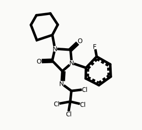 O=C1/C(=N/C(Cl)C(Cl)(Cl)Cl)N(c2ccccc2F)C(=O)N1C1CCCCC1